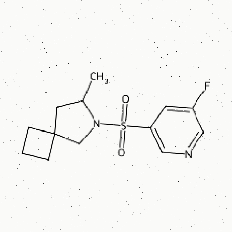 CC1CC2(CCC2)CN1S(=O)(=O)c1cncc(F)c1